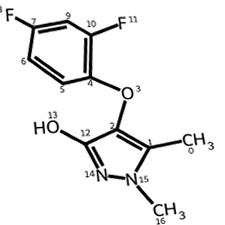 Cc1c(Oc2ccc(F)cc2F)c(O)nn1C